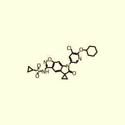 O=C1N(c2cnc(OC3CCCCC3)c(Cl)c2)c2cc3onc(NS(=O)(=O)C4CC4)c3cc2C12CC2